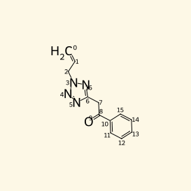 C=CCn1nnc(CC(=O)c2ccccc2)n1